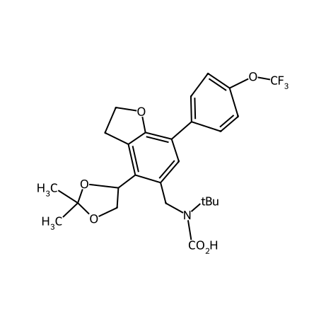 CC1(C)OCC(c2c(CN(C(=O)O)C(C)(C)C)cc(-c3ccc(OC(F)(F)F)cc3)c3c2CCO3)O1